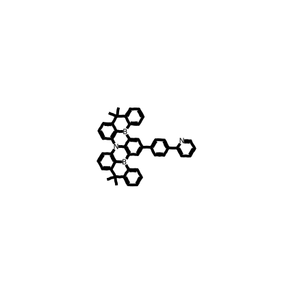 CC1(C)c2ccccc2B2c3cc(-c4ccc(-c5ccccn5)cc4)cc4c3N(c3cccc1c32)c1cccc2c1B4c1ccccc1C2(C)C